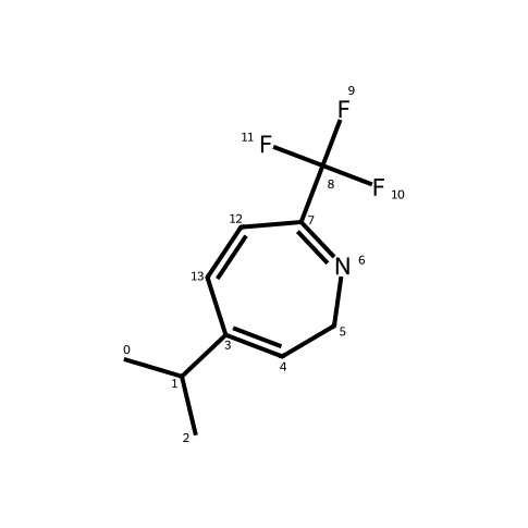 CC(C)C1=CCN=C(C(F)(F)F)C=C1